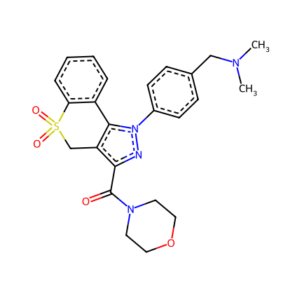 CN(C)Cc1ccc(-n2nc(C(=O)N3CCOCC3)c3c2-c2ccccc2S(=O)(=O)C3)cc1